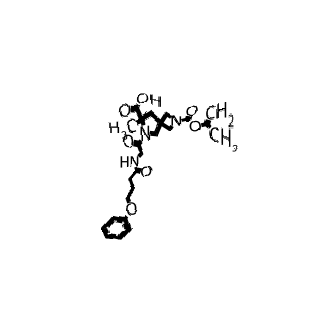 C=C(C)OC(=O)N1CC2(C1)CN(C(=O)CNC(=O)CCCOc1ccccc1)C(C)(C(=O)O)C2